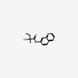 CCC(C)(O)C(=O)Nc1ccc2cccnc2c1